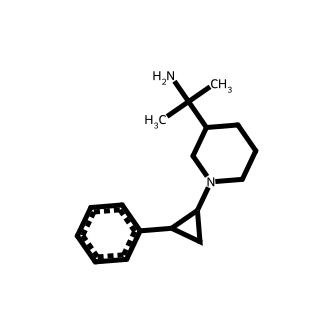 CC(C)(N)C1CCCN(C2CC2c2ccccc2)C1